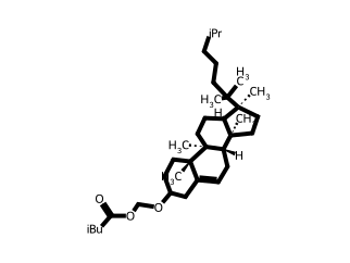 CCC(C)C(=O)OCOC1CC[C@@]2(C)C(=CC[C@H]3[C@]4(C)CC[C@](C)(C(C)(C)CCCC(C)C)[C@H]4CC[C@@]32C)C1